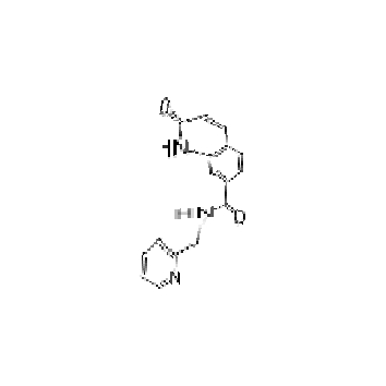 O=C(NCc1ccccn1)c1ccc2ccc(=O)[nH]c2c1